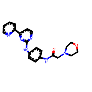 O=C(CN1CCOCC1)Nc1ccc(Nc2nccc(-c3ccccn3)n2)cc1